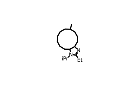 CCC1=NC2CCCC(C)CCCCCCC2N1C(C)C